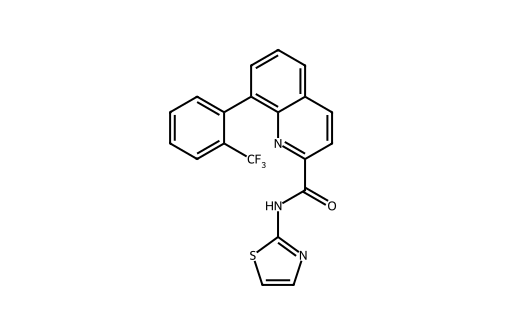 O=C(Nc1nccs1)c1ccc2cccc(-c3ccccc3C(F)(F)F)c2n1